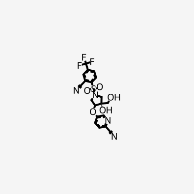 N#Cc1ccc(OC2CN(S(=O)(=O)c3ccc(C(F)(F)F)cc3C#N)C[C@@]2(O)CO)cn1